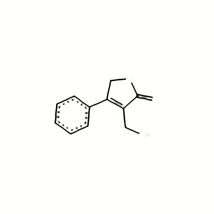 O=C1OCC(c2ccccc2)=C1CO